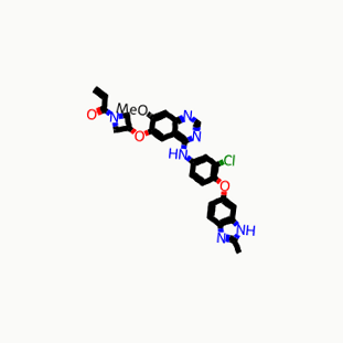 C=CC(=O)N1CC(Oc2cc3c(Nc4ccc(Oc5ccc6nc(C)[nH]c6c5)c(Cl)c4)ncnc3cc2OC)C1